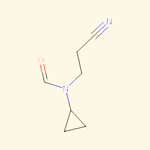 N#CCCN([C]=O)C1CC1